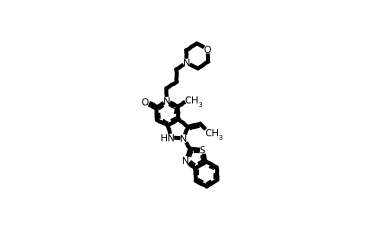 CC=C1c2c(cc(=O)n(CCCN3CCOCC3)c2C)NN1c1nc2ccccc2s1